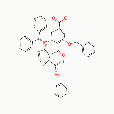 O=C(O)c1cc(OCc2ccccc2)c(C(=O)c2c(OCc3ccccc3)cccc2C(=O)OCc2ccccc2)c(OCc2ccccc2)c1